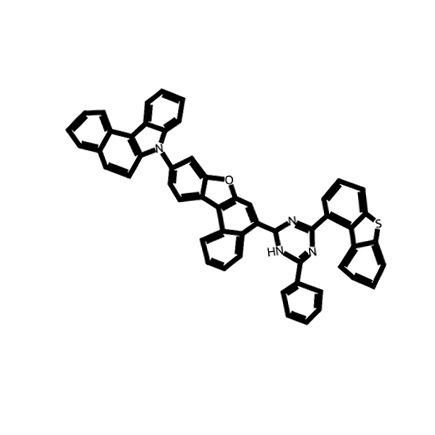 c1ccc(C2=NC(c3cccc4sc5ccccc5c34)=NC(c3cc4oc5cc(-n6c7ccccc7c7c8ccccc8ccc76)ccc5c4c4ccccc34)N2)cc1